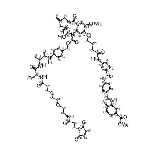 C=C1C[C@H]2[C@H](O)N(C(=O)OCc3ccc(NC(=O)[C@H](C)NC(=O)[C@@H](NC(=O)CCOCCOCCNC(=O)CCN4C(=O)C=CC4=O)C(C)C)cc3)c3cc(OCCCC(=O)Nc4cn(C)c(C(=O)Nc5ccc(-c6nc7ccc(C(=O)OC)cc7[nH]6)cc5)n4)c(OC)cc3C(=O)N2C1